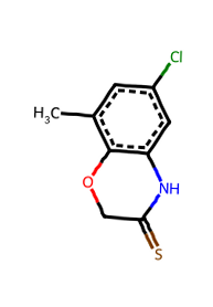 Cc1cc(Cl)cc2c1OCC(=S)N2